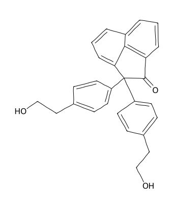 O=C1c2cccc3cccc(c23)C1(c1ccc(CCO)cc1)c1ccc(CCO)cc1